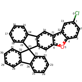 Clc1ccc2oc3cc4c(cc3c2c1)-c1ccccc1C41c2ccccc2-c2ccccc21